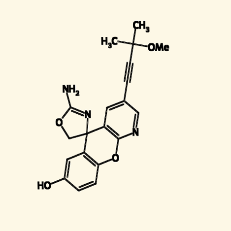 COC(C)(C)C#Cc1cnc2c(c1)C1(COC(N)=N1)c1cc(O)ccc1O2